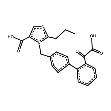 CCCc1ncc(C(=O)O)n1Cc1ccc(-c2ccccc2C(=O)C(=O)O)cc1